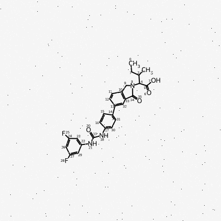 CCC(C)C(C(=O)O)N1Cc2ccc(-c3ccc(NC(=O)Nc4cc(F)cc(F)c4)cc3)cc2C1=O